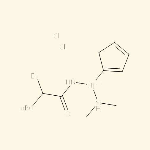 CCCCC(CC)C(=O)[NH][Hf+2]([C]1=CC=CC1)[SiH](C)C.[Cl-].[Cl-]